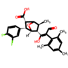 Cc1cc(C)c(/C(C=O)=C(\O)[C@@H]2[C@@H]3OC([C@H]2C)[C@@H](C(=O)O)[C@H]3c2ccc(F)c(F)c2)c(C)c1